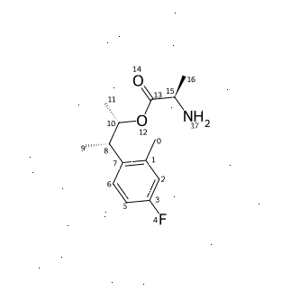 Cc1cc(F)ccc1[C@H](C)[C@H](C)OC(=O)[C@@H](C)N